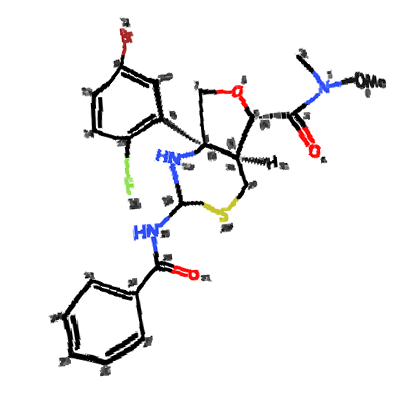 CON(C)C(=O)[C@H]1OC[C@]2(c3cc(Br)ccc3F)NC(NC(=O)c3ccccc3)SC[C@H]12